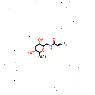 C=CC(=O)NCC1O[C@@H](OC)[C@H](O)C[C@@H]1O